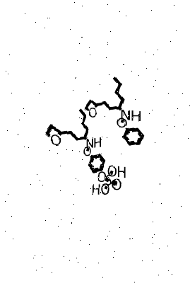 CCCCC(CCC1CCO1)NOc1ccccc1.CCCCC(CCC1CCO1)NOc1ccccc1.O=S(=O)(O)O